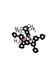 CC1(C)CCC(C)(C)c2cc3c4c(sc3cc21)B1c2c(cc3c(c2N4c2ccc(-c4ccccc4)cc2)C(C)(C)c2ccccc2-3)-c2cc(-c3ccccc3)cc3c4cc(-c5ccccc5)ccc4n1c23